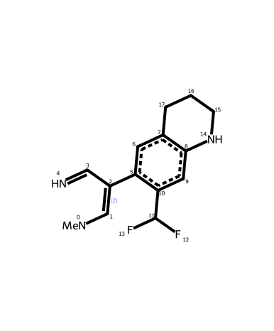 CN/C=C(\C=N)c1cc2c(cc1C(F)F)NCCC2